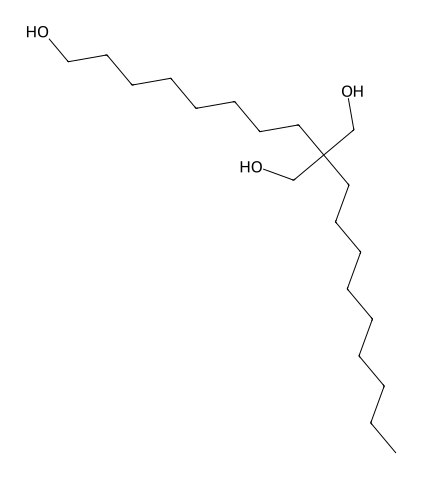 CCCCCCCCCC(CO)(CO)CCCCCCCCO